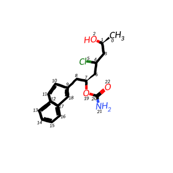 C[C@H](O)CC(Cl)C[C@H](Cc1ccc2ccccc2c1)OC(N)=O